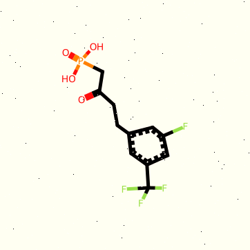 O=C(CCc1cc(F)cc(C(F)(F)F)c1)CP(=O)(O)O